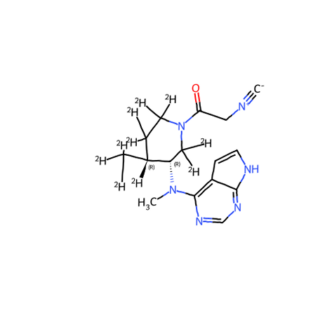 [2H]C1([2H])[C@H](N(C)c2ncnc3[nH]ccc23)[C@]([2H])(C([2H])([2H])[2H])C([2H])([2H])C([2H])([2H])N1C(=O)C[N+]#[C-]